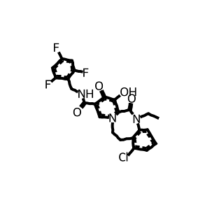 CCN1C(=O)c2c(O)c(=O)c(C(=O)NCc3c(F)cc(F)cc3F)cn2CCc2c(Cl)cccc21